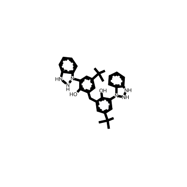 CC(C)(C)c1cc(Cc2cc(C(C)(C)C)cc(N3NNc4ccccc43)c2O)c(O)c(N2NNc3ccccc32)c1